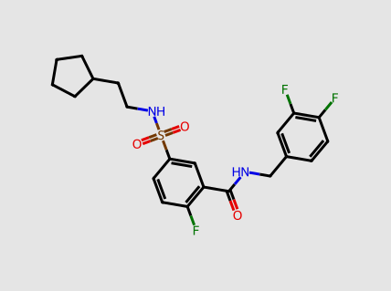 O=C(NCc1ccc(F)c(F)c1)c1cc(S(=O)(=O)NCCC2CCCC2)ccc1F